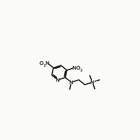 CN(CC[N+](C)(C)C)c1ncc([N+](=O)[O-])cc1[N+](=O)[O-]